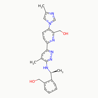 Cc1cn(-c2ccc(-c3cc(C)c(N[C@@H](C)c4ccccc4CO)nn3)nc2CO)cn1